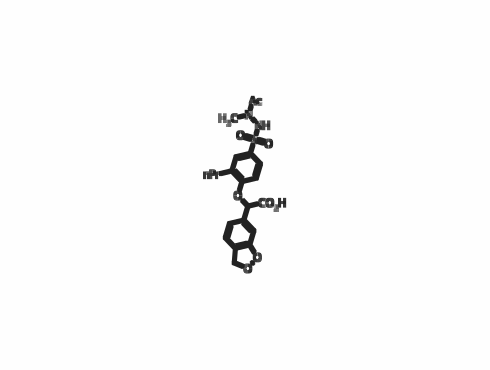 CCCc1cc(S(=O)(=O)NN(C)C(C)=O)ccc1OC(C(=O)O)c1ccc2c(c1)OOC2